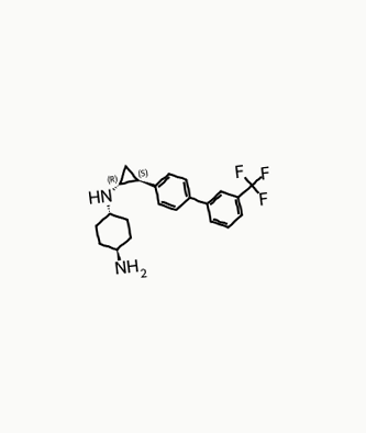 N[C@H]1CC[C@H](N[C@@H]2C[C@H]2c2ccc(-c3cccc(C(F)(F)F)c3)cc2)CC1